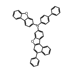 c1ccc(-c2ccc(N(c3ccc4c(c3)oc3ccccc34)c3ccc4c(c3)oc3cc(-c5ccccc5)c5ccccc5c34)cc2)cc1